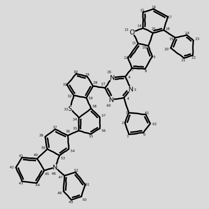 c1ccc(-c2nc(-c3ccc4c(c3)oc3cccc(-c5ccccc5)c34)nc(-c3cccc4sc5c(-c6ccc7c8ccccc8n(-c8ccccc8)c7c6)cccc5c34)n2)cc1